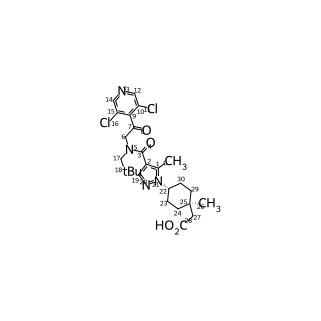 Cc1c(C(=O)N(CC(=O)c2c(Cl)cncc2Cl)CC(C)(C)C)cnn1[C@H]1CC[C@](C)(CC(=O)O)CC1